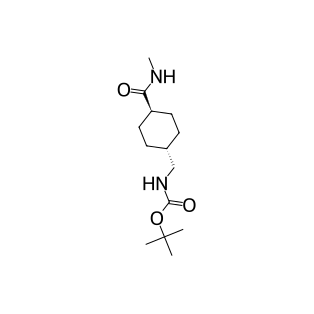 CNC(=O)[C@H]1CC[C@H](CNC(=O)OC(C)(C)C)CC1